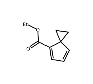 CCOC(=O)C1=CC=CC12CC2